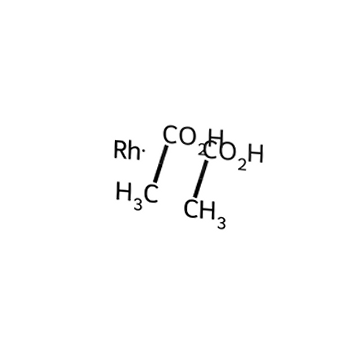 CC(=O)O.CC(=O)O.[Rh]